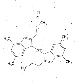 CCCC1=Cc2c(C)cc(C)cc2[CH]1[Zr+2][CH]1C(CCC)=Cc2c(C)cc(C)cc21.[Cl-].[Cl-]